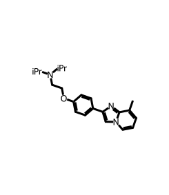 Cc1cccn2cc(-c3ccc(OCCN(C(C)C)C(C)C)cc3)nc12